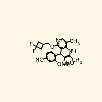 COc1cc(C#N)ccc1C1C(C=O)=C(C)Nc2c(C)cnc(OCC3CC(F)(F)C3)c21